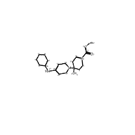 CC(C)(C)OC(=O)N1CCC(C)(N2CCC(NC3CCCCC3)CC2)CC1